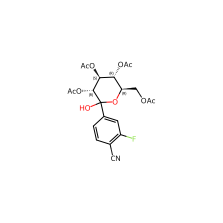 CC(=O)OC[C@H]1OC(O)(c2ccc(C#N)c(F)c2)[C@H](OC(C)=O)[C@@H](OC(C)=O)[C@@H]1OC(C)=O